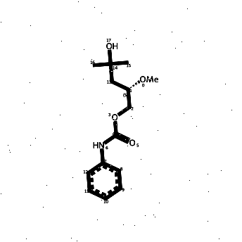 CO[C@H](COC(=O)Nc1ccccc1)CC(C)(C)O